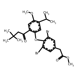 COC(=O)Cc1cc(Br)c(Oc2cc(C(C)C)c(OC)cc2C(=O)CC(C)(C)C)c(Br)c1